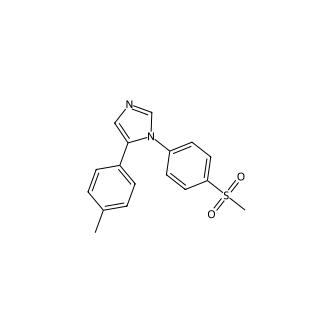 Cc1ccc(-c2cncn2-c2ccc(S(C)(=O)=O)cc2)cc1